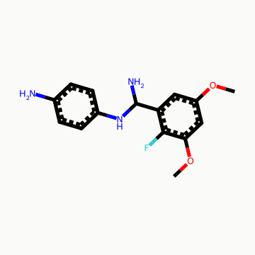 COc1cc(OC)c(F)c(C(N)Nc2ccc(N)cc2)c1